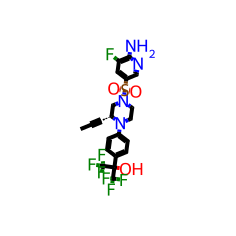 CC#C[C@@H]1CN(S(=O)(=O)c2cnc(N)c(F)c2)CCN1c1ccc(C(O)(C(F)(F)F)C(F)(F)F)cc1